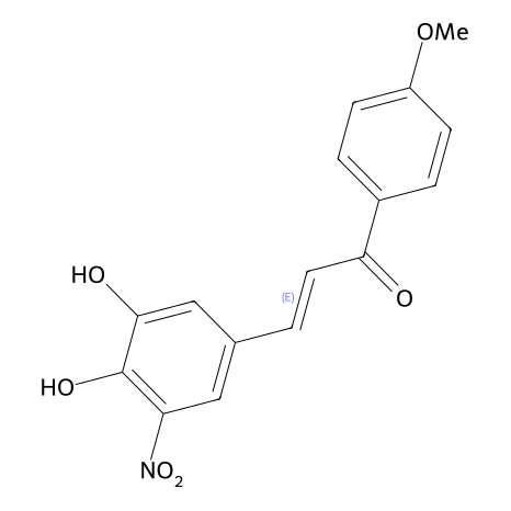 COc1ccc(C(=O)/C=C/c2cc(O)c(O)c([N+](=O)[O-])c2)cc1